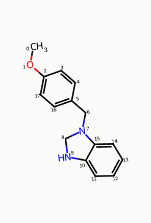 COc1ccc(CN2[CH]Nc3ccccc32)cc1